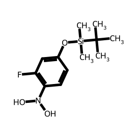 CC(C)(C)[Si](C)(C)Oc1ccc(N(O)O)c(F)c1